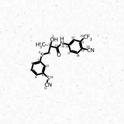 C[C@@](O)(CSc1cccc(SC#N)c1)C(=O)Nc1ccc(C#N)c(C(F)(F)F)c1